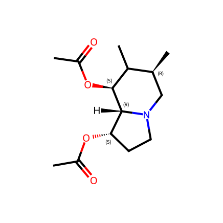 CC(=O)O[C@H]1CCN2C[C@H](C)C(C)[C@H](OC(C)=O)[C@@H]12